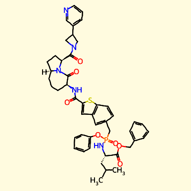 CC(C)C[C@H](NP(=O)(Cc1ccc2sc(C(=O)N[C@H]3CCC[C@H]4CC[C@@H](C(=O)N5CC(c6cccnc6)C5)N4C3=O)cc2c1)Oc1ccccc1)C(=O)OCc1ccccc1